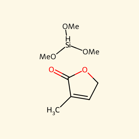 CC1=CCOC1=O.CO[SiH](OC)OC